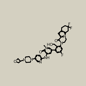 Cn1cc(-c2cc(F)cc(N3CCn4c(cc5c4CC(F)(F)CC5)C3=O)c2CO)cc(Nc2ccc(N3CCN(C4COC4)CC3)cn2)c1=O